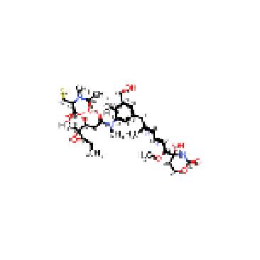 CCC1OC1(C)C(CC(=O)N(C)c1cc(C/C(C)=C/C=C/C(OC)C2(O)CCOC(=O)N2)cc(CO)c1C)OC(=O)C(CS)N(C)C(C)=O